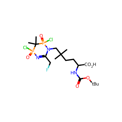 CC(C)(CCC(NC(=O)OC(C)(C)C)C(=O)O)CN1C(CF)=NP(=O)(Cl)C(C)(C)P1(=O)Cl